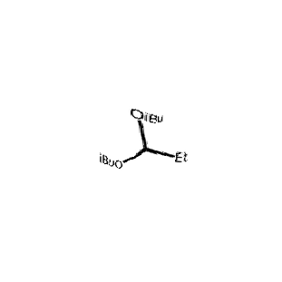 CCC(OCC(C)C)OCC(C)C